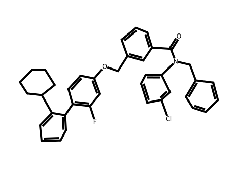 O=C(c1cccc(COc2ccc(-c3ccccc3C3CCCCC3)c(F)c2)c1)N(Cc1ccccc1)c1cccc(Cl)c1